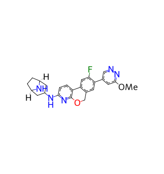 COc1cc(-c2cc3c(cc2F)-c2ccc(NC4C[C@H]5CC[C@@H](C4)N5)nc2OC3)cnn1